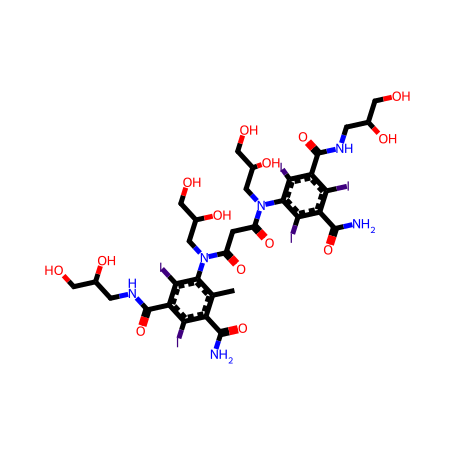 Cc1c(C(N)=O)c(I)c(C(=O)NCC(O)CO)c(I)c1N(CC(O)CO)C(=O)CC(=O)N(CC(O)CO)c1c(I)c(C(N)=O)c(I)c(C(=O)NCC(O)CO)c1I